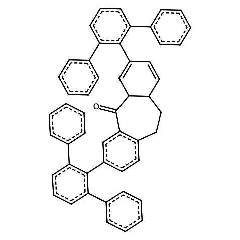 O=C1c2cc(-c3c(-c4ccccc4)cccc3-c3ccccc3)ccc2CCC2C=CC(c3c(-c4ccccc4)cccc3-c3ccccc3)=CC12